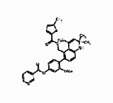 COc1cc(OC(=O)c2cccnc2)ccc1-c1ccc2c(c1COC(=O)c1ccc(C)s1)C(C)=CC(C)(C)N2